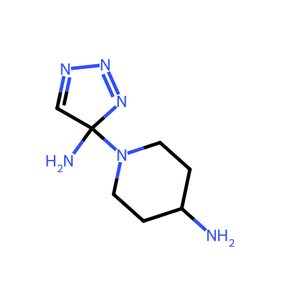 NC1CCN(C2(N)C=NN=N2)CC1